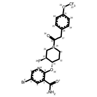 NC(=O)c1cc(Br)cnc1O[C@H]1CCN(C(=O)Cc2ccc(OC(F)(F)F)cc2)C[C@@H]1F